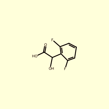 O=C(O)C(O)c1c(F)cccc1F